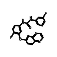 O=C(Nc1cccc(F)c1)Nc1ccc(F)c(Oc2ccc3nccnc3c2)c1